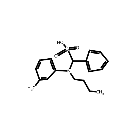 CCCCN(c1cccc(C)c1)C(c1ccccc1)S(=O)(=O)O